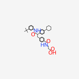 CC(C)(C)c1cccc(NC(=O)C(Cc2ccc(C(=O)NCCC(=O)O)cc2)c2ccc(C3CCCCC3)cc2)c1